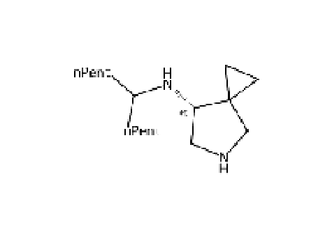 CCCCCC(CCCCC)N[C@H]1CNCC12CC2